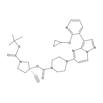 C#C[C@]1(OC(=O)N2CCN(c3ccn4ncc(-c5cccnc5OC5CC5)c4n3)CC2)CCN(C(=O)OC(C)(C)C)C1